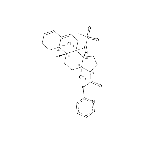 C[C@]12CC[C@H]3C(OS(=O)(=O)F)(CC=C4C=CCC[C@@]43C)[C@@H]1CC[C@@H]2C(=O)Sc1ccccn1